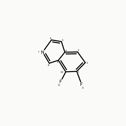 Fc1ccc2ccncc2c1F